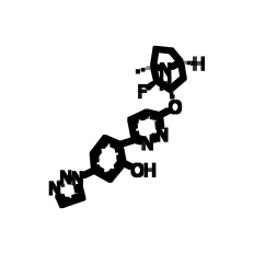 C[C@@]12CC[C@@H](C[C@H](Oc3ccc(-c4ccc(-n5ccnn5)cc4O)nn3)[C@H]1F)N2